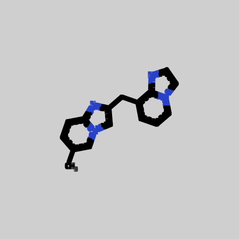 Cc1ccc2nc(Cc3cccn4c[c]nc34)cn2c1